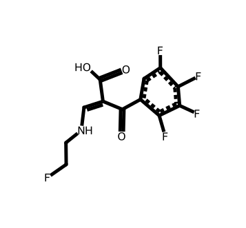 O=C(O)/C(=C/NCCF)C(=O)c1cc(F)c(F)c(F)c1F